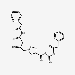 N=C(C[C@H]1CCC(C(=N)SC(=N)NC(=O)Cc2ccccn2)C1)SC(=N)NC(=O)Cc1ccccn1